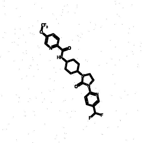 O=C(NC1CCC(N2CCN(c3ccc(C(F)F)cn3)C2=O)CC1)c1ccc(OC(F)(F)F)cn1